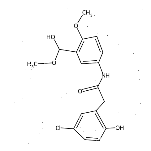 COc1ccc(NC(=O)Cc2cc(Cl)ccc2O)cc1C(O)OC